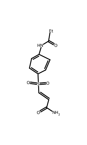 CCC(=O)Nc1ccc(S(=O)(=O)C=CC(N)=O)cc1